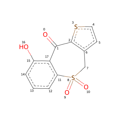 O=C1c2sccc2CS(=O)(=O)c2cccc(O)c21